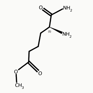 COC(=O)CCC[C@H](N)C(N)=O